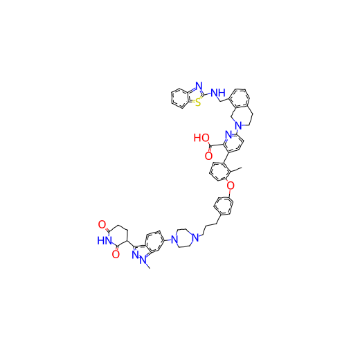 Cc1c(Oc2ccc(CCCN3CCN(c4ccc5c(C6CCC(=O)NC6=O)nn(C)c5c4)CC3)cc2)cccc1-c1ccc(N2CCc3cccc(CNc4nc5ccccc5s4)c3C2)nc1C(=O)O